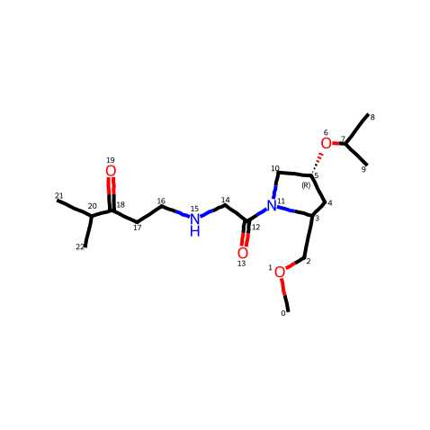 COCC1C[C@@H](OC(C)C)CN1C(=O)CNCCC(=O)C(C)C